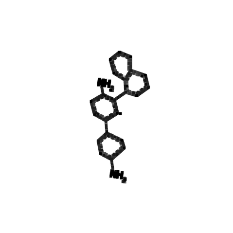 Nc1ccc(-c2[c]c(-c3cccc4ccccc34)c(N)cc2)cc1